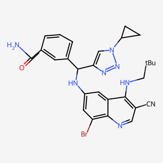 CC(C)(C)CNc1c(C#N)cnc2c(Br)cc(NC(c3cccc(C(N)=O)c3)c3cn(C4CC4)nn3)cc12